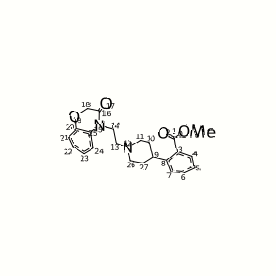 COC(=O)c1ccccc1C1CCN(CCN2C(=O)COc3ccccc32)CC1